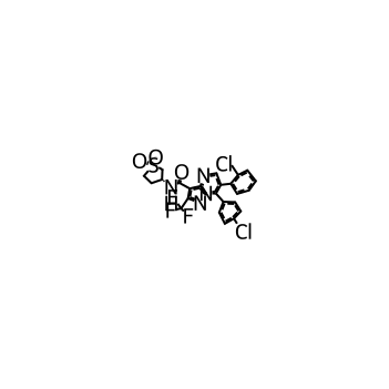 O=C(N[C@@H]1CCS(=O)(=O)C1)c1c(C(F)(F)F)nn2c(-c3ccc(Cl)cc3)c(-c3ccccc3Cl)cnc12